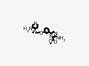 COC(=O)c1nc(-c2cccc(OCCN(C)c3ccncc3N)c2)cnc1N